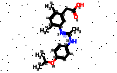 C/C(=N\c1cc(CC(=O)O)c(C)cc1C)Nc1ccc(OC(C)C)cc1